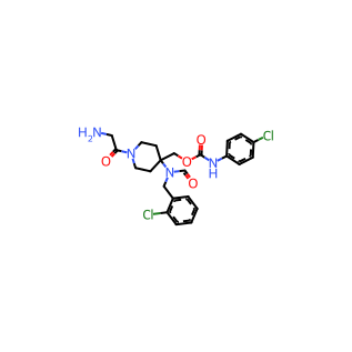 NCC(=O)N1CCC(COC(=O)Nc2ccc(Cl)cc2)(N(C=O)Cc2ccccc2Cl)CC1